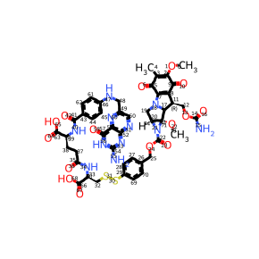 COC1=C(C)C(=O)C2=C(C1=O)[C@@H](COC(N)=O)C1N2C[C@@H]2N(C(=O)OCc3ccc(SSC[C@H](NC(=O)CC[C@H](NC(=O)c4ccc(NCc5cnc6nc(N)[nH]c(=O)c6n5)cc4)C(=O)O)C(=O)O)cc3)[C@]12OC